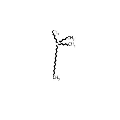 CCCCCCCCCCCCCCCC[N+](CCCCCC)(CCCCCC)CCCCCC